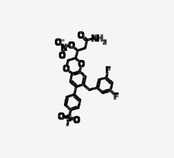 CS(=O)(=O)c1ccc(-c2cc3c(cc2Cc2cc(F)cc(F)c2)OC(C(CC(N)=O)O[N+](=O)[O-])CO3)cc1